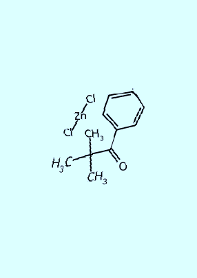 CC(C)(C)C(=O)c1cc[c]cc1.[Cl][Zn][Cl]